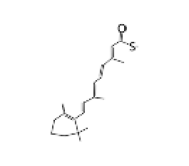 CC1=C(/C=C/C(C)=C/C=C/C(C)=C/C(=O)[S])C(C)(C)CCC1